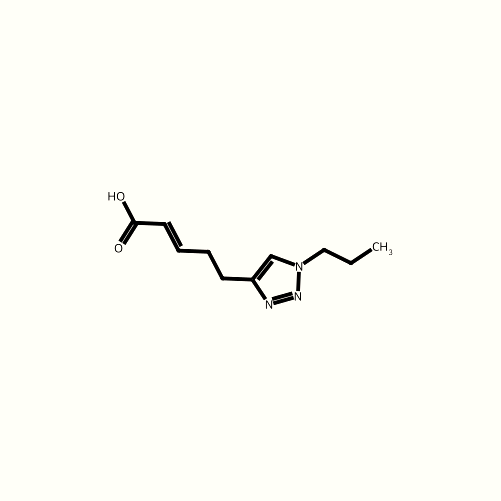 CCCn1cc(CCC=CC(=O)O)nn1